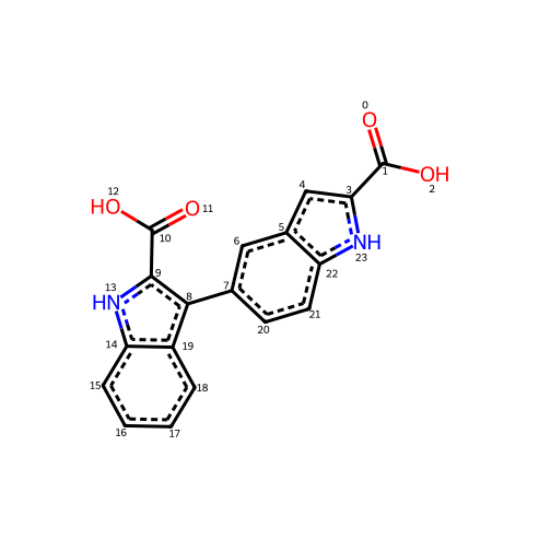 O=C(O)c1cc2cc(-c3c(C(=O)O)[nH]c4ccccc34)ccc2[nH]1